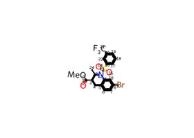 COC(=O)[C@@H]1Cc2ccc(Br)cc2N(S(=O)(=O)c2cccc(C(F)(F)F)c2)[C@@H]1C